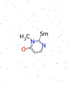 Cn1[c]([Sm])nccc1=O